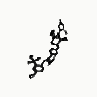 CN1CC(N2C(=O)S/C(=C\c3ccc4c(cnn4Cc4ccc(Cl)cc4C(F)(F)F)c3)C2=O)[C@@H](F)C1